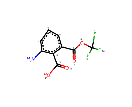 Nc1cccc(C(=O)OC(F)(F)F)c1C(=O)O